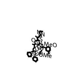 COCCO[C@@H](Cn1c(=O)n(C(C)C(=O)CC(C)(C)[Si](O)(c2ccccc2)c2ccccc2)c(=O)c2c(C)c(-n3nccn3)sc21)c1cc(F)ccc1OC